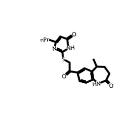 CCCc1cc(=O)[nH]c(SCC(=O)c2ccc3c(c2)C(C)CCC(=O)N3)n1